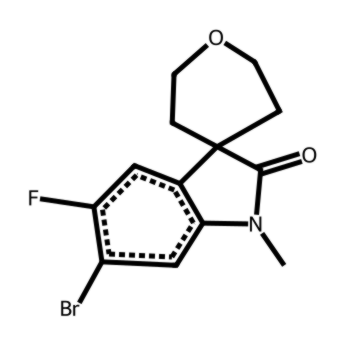 CN1C(=O)C2(CCOCC2)c2cc(F)c(Br)cc21